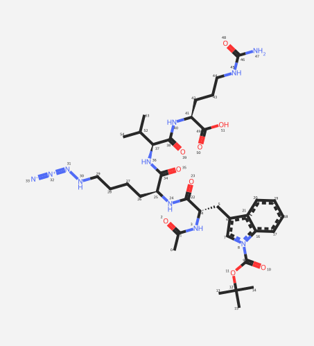 CC(=O)N[C@@H](Cc1cn(C(=O)OC(C)(C)C)c2ccccc12)C(=O)N[C@@H](CCCCNN=[N+]=[N-])C(=O)N[C@H](C(=O)N[C@@H](CCCNC(N)=O)C(=O)O)C(C)C